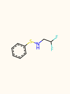 FC(F)CNSc1ccccc1